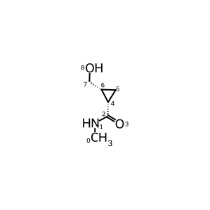 CNC(=O)[C@H]1C[C@H]1CO